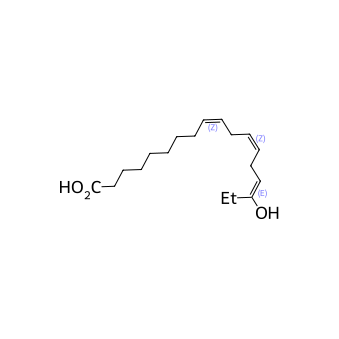 CC/C(O)=C\C/C=C\C/C=C\CCCCCCCC(=O)O